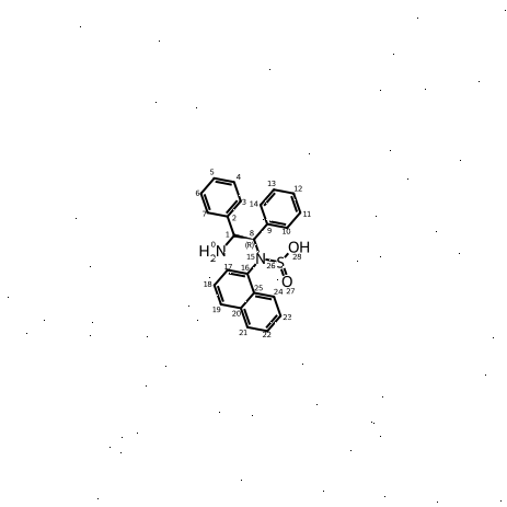 NC(c1ccccc1)[C@@H](c1ccccc1)N(c1cccc2ccccc12)S(=O)O